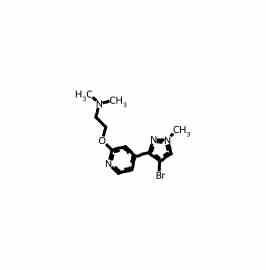 CN(C)CCOc1cc(-c2nn(C)cc2Br)ccn1